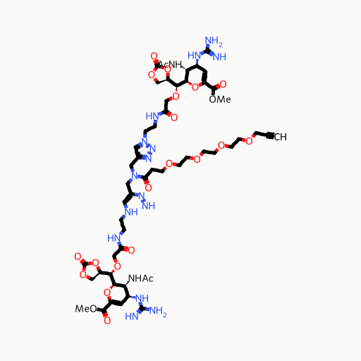 C#CCOCCOCCOCCOCCC(=O)N(C/C(=C/NCCNC(=O)CO[C@@H]([C@@H]1OC(C(=O)OC)=C[C@H](NC(=N)N)[C@H]1NC(C)=O)[C@H]1COC(=O)O1)N=N)Cc1cn(CCNC(=O)CO[C@@H]([C@@H]2OC(C(=O)OC)=C[C@H](NC(=N)N)[C@H]2NC(C)=O)[C@H]2COC(=O)O2)nn1